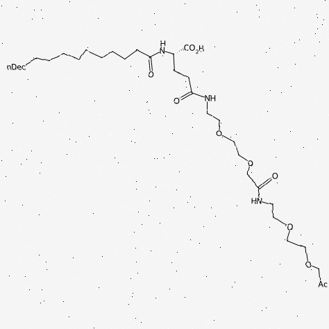 CCCCCCCCCCCCCCCCCCCC(=O)N[C@@H](CCC(=O)NCCOCCOCC(=O)NCCOCCOCC(C)=O)C(=O)O